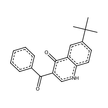 CC(C)(C)c1ccc2[nH]cc(C(=O)c3ccccc3)c(=O)c2c1